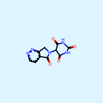 O=C1NC(=O)C(N2Cc3nnccc3C2=O)C(=O)N1